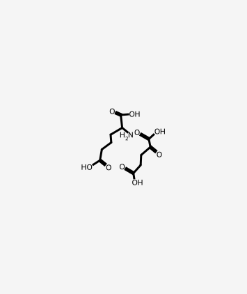 NC(CCCC(=O)O)C(=O)O.O=C(O)CCC(=O)C(=O)O